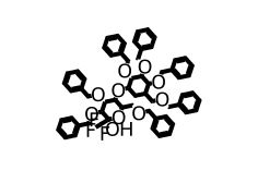 OC1(C(F)(F)F)OC(COCc2ccccc2)C(OC2CC(COCc3ccccc3)C(OCc3ccccc3)C(OCc3ccccc3)C2OCc2ccccc2)C(OCc2ccccc2)C1OCc1ccccc1